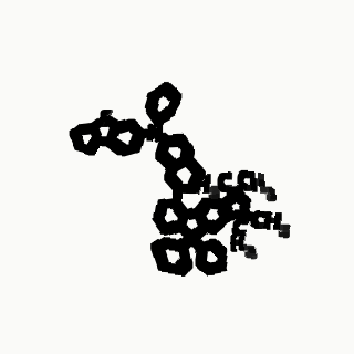 CC1(C)CC(C)(C)c2cc3c(cc21)-c1c(-c2ccc4ccc(N(c5ccccc5)c5ccc6c(c5)sc5ccccc56)cc4c2)cccc1C3(c1ccccc1)c1ccccc1